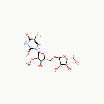 CO[C@@H]1[C@H](O)[C@@H](COC2O[C@H](CO)[C@@H](O)[C@H]2O)O[C@H]1n1cc(C)c(=O)[nH]c1=O